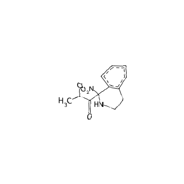 CC(Cl)C(=O)C1([N+](=O)[O-])NCCc2ccccc21